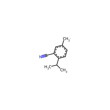 [CH2]c1ccc(C(C)C)c(C#N)c1